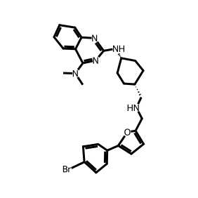 CN(C)c1nc(N[C@H]2CC[C@@H](CNCc3ccc(-c4ccc(Br)cc4)o3)CC2)nc2ccccc12